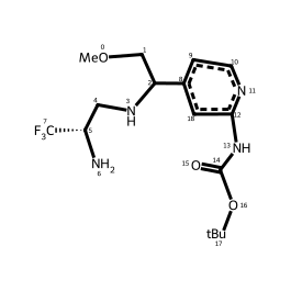 COCC(NC[C@H](N)C(F)(F)F)c1ccnc(NC(=O)OC(C)(C)C)c1